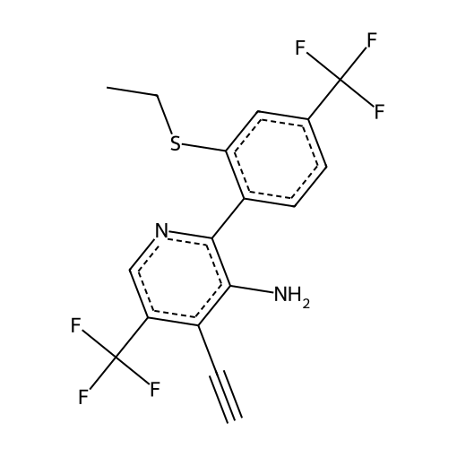 C#Cc1c(C(F)(F)F)cnc(-c2ccc(C(F)(F)F)cc2SCC)c1N